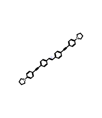 C(#Cc1ccc(N2CCCC2)cc1)c1ccc(/C=C/c2ccc(C#Cc3ccc(N4CCCC4)cc3)cc2)cc1